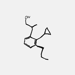 CCCc1cccc([C](C)CO)c1C1CC1